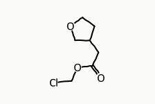 O=C(CC1CCOC1)OCCl